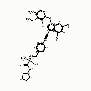 COc1c(C)cnc(Cn2cc(C#Cc3ccc(CNC(C)(C)C(=O)OC4CCCC4)cc3)c3c(Cl)nc(N)nc32)c1C